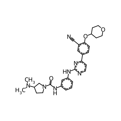 CN(C)C1CCN(C(=O)Nc2cccc(Nc3nccc(-c4ccc(OC5CCOCC5)c(C#N)c4)n3)c2)C1